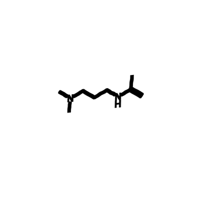 C=C(C)NCCCN(C)C